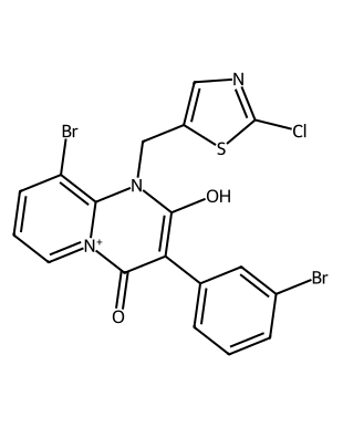 O=c1c(-c2cccc(Br)c2)c(O)n(Cc2cnc(Cl)s2)c2c(Br)ccc[n+]12